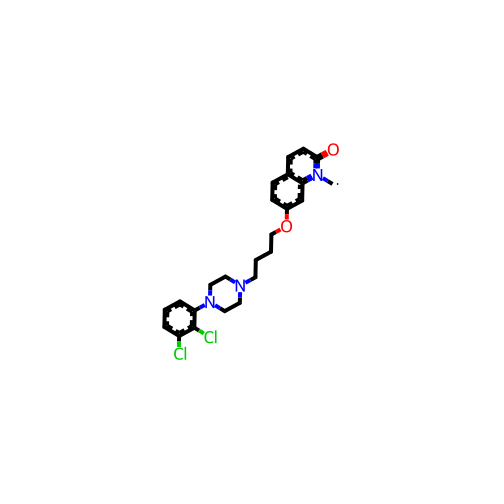 [CH2]n1c(=O)ccc2ccc(OCCCCN3CCN(c4cccc(Cl)c4Cl)CC3)cc21